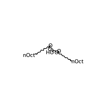 CCCCCCCCC=CCCCCCCCC(=O)OCC(O)COC(=O)CCCCCCCC=CCCCCCCCC